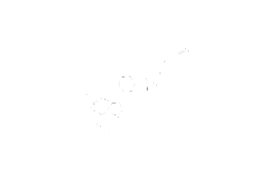 Cc1ccc(S(=O)(=O)NC23CC(CC#N)(C2)C3)cc1-c1cnc2c(N)nc(C(F)(F)F)cn12